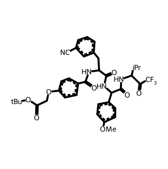 COc1ccc(C(NC(=O)C(Cc2cccc(C#N)c2)NC(=O)c2ccc(OCC(=O)OC(C)(C)C)cc2)C(=O)NC(C(=O)C(F)(F)F)C(C)C)cc1